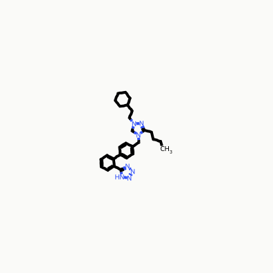 CCCCC1=NN(CCC2CCCCC2)CN1Cc1ccc(-c2ccccc2-c2nnn[nH]2)cc1